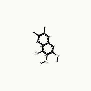 COc1cc2cc(C)c(C)cc2c(O)c1OC